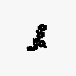 Cc1ccc(Nc2cnc(-c3cnccn3)c(C)c2)c(C(=O)OC(C)(C)C)c1